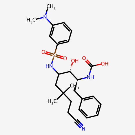 CN(C)c1cccc(S(=O)(=O)NC(CC(C)(C)CCC#N)[C@H](O)[C@H](Cc2ccccc2)NC(=O)O)c1